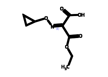 CCOC(=O)/C(=N/OC1CC1)C(=O)O